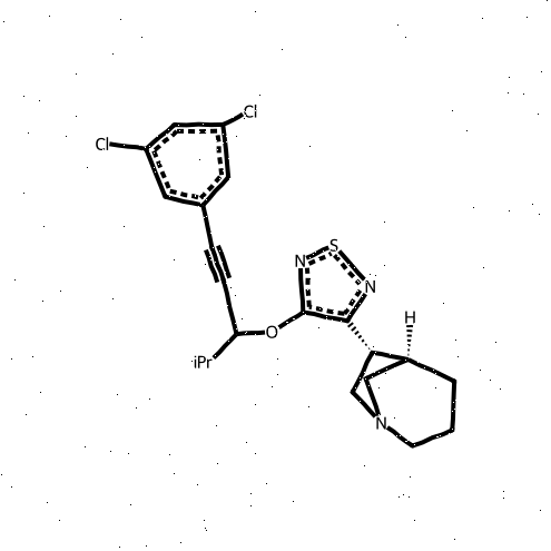 CC(C)C(C#Cc1cc(Cl)cc(Cl)c1)Oc1nsnc1[C@H]1CN2CCC[C@H]1C2